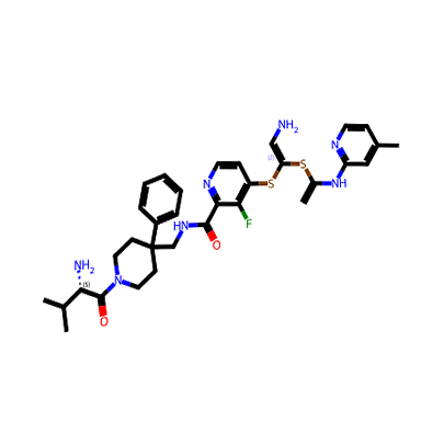 C=C(Nc1cc(C)ccn1)S/C(=C\N)Sc1ccnc(C(=O)NCC2(c3ccccc3)CCN(C(=O)[C@@H](N)C(C)C)CC2)c1F